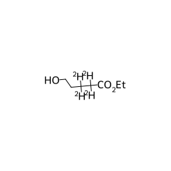 [2H]C([2H])(CCO)C([2H])([2H])C(=O)OCC